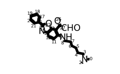 CN(C)CCCCCCNc1ccc2nc(-c3ccccc3)oc2c1C(=O)C=O